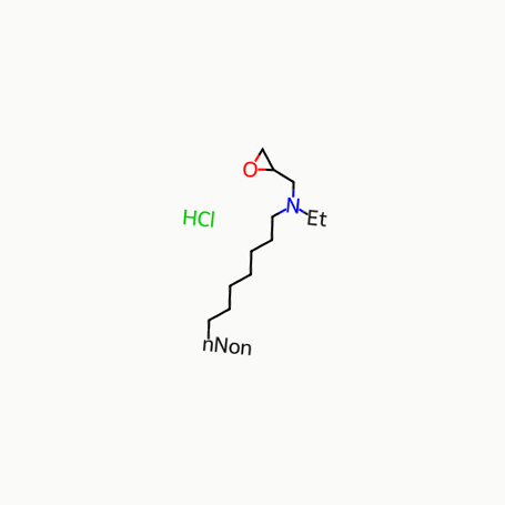 CCCCCCCCCCCCCCCCN(CC)CC1CO1.Cl